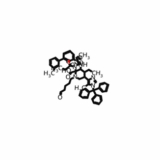 CCC(=O)N(C(=O)CC)C1(C(=O)O)C(NS(=O)(=O)c2cccc(-c3cccc(C)c3)c2)C(CC)C(c2ncn(C(c3ccccc3)(c3ccccc3)c3ccccc3)c2C)CN1CCCCC=O